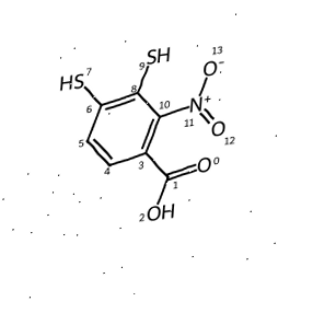 O=C(O)c1ccc(S)c(S)c1[N+](=O)[O-]